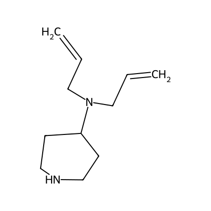 C=CCN(CC=C)C1CCNCC1